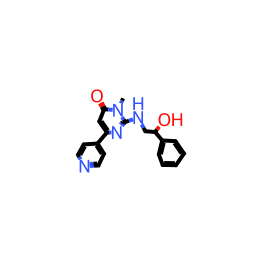 Cn1c(NCC(O)c2ccccc2)nc(-c2ccncc2)cc1=O